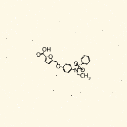 CCN(c1ccc(OCc2ccc(C(=O)O)o2)cc1)S(=O)(=O)c1ccccc1